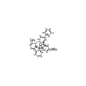 CCCC1=CC=C2c3ccccc3[C@@](C)(N3CC=C(C(C)(C)C)C=C3C3=CC(c4ccccc4)=CCC3)N2C1